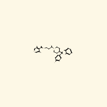 CC(CCNC(=O)c1c(Cl)cncc1Cl)N1CCC(C2(c3ccc(Br)cc3)Oc3ccccc3O2)CC1